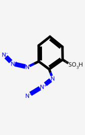 [N-]=[N+]=Nc1cccc(S(=O)(=O)O)c1N=[N+]=[N-]